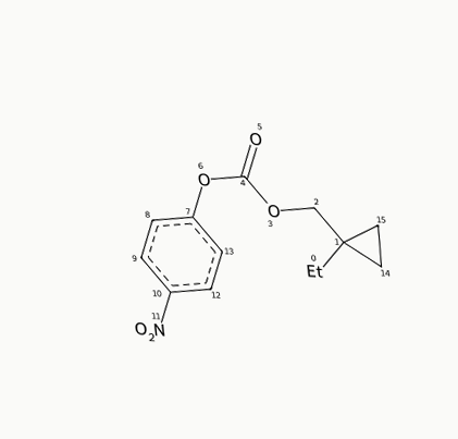 CCC1(COC(=O)Oc2ccc([N+](=O)[O-])cc2)CC1